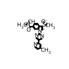 Cc1ccnc(-c2cnc(-n3cc([S+](C)[O-])c4ccc(C(=O)N(C)C)cc43)nc2)c1